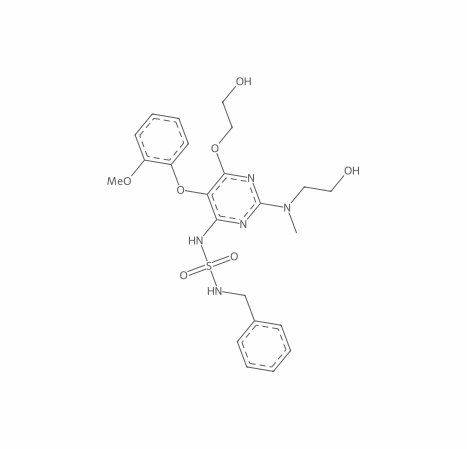 COc1ccccc1Oc1c(NS(=O)(=O)NCc2ccccc2)nc(N(C)CCO)nc1OCCO